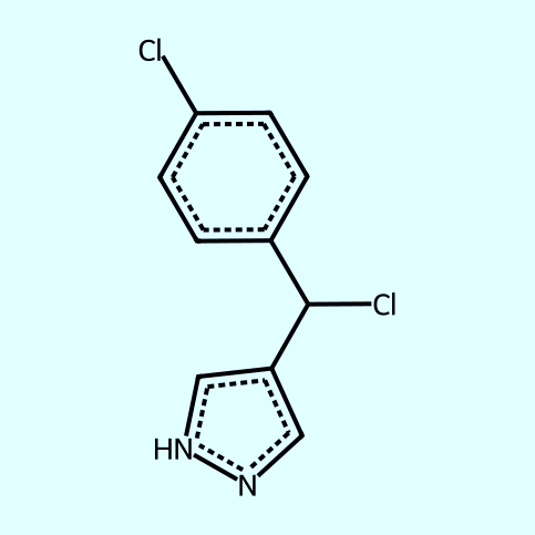 Clc1ccc(C(Cl)c2cn[nH]c2)cc1